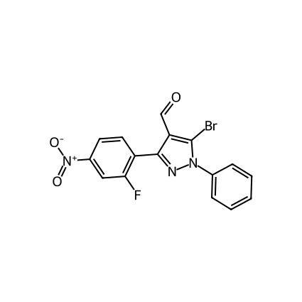 O=Cc1c(-c2ccc([N+](=O)[O-])cc2F)nn(-c2ccccc2)c1Br